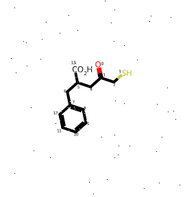 O=C(CS)CC(Cc1ccccc1)C(=O)O